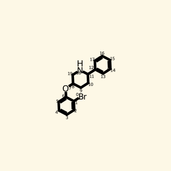 Brc1ccccc1OC1CCC(c2c[c]ccc2)NC1